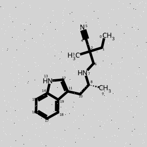 CCC(C)(C#N)CN[C@H](C)Cc1c[nH]c2ccccc12